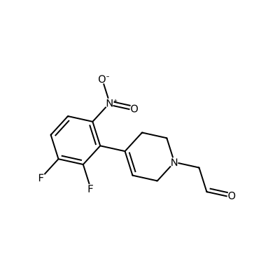 O=CCN1CC=C(c2c([N+](=O)[O-])ccc(F)c2F)CC1